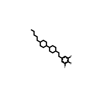 CCCCCC1CCC(C2CCC(CCc3cc(F)c(F)c(F)c3)CC2)CC1